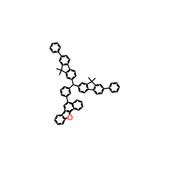 CC1(C)c2cc(-c3ccccc3)ccc2-c2ccc(C(c3cccc(-c4cc5c6ccccc6oc5c5ccccc45)c3)c3ccc4c(c3)C(C)(C)c3cc(-c5ccccc5)ccc3-4)cc21